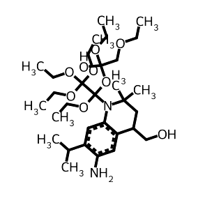 CCOCC(O)(OCC)OC(OCC)(N1c2cc(C(C)C)c(N)cc2C(CO)CC1(C)C)C(OCC)(OCC)OCC